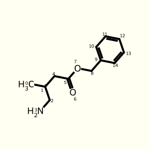 C[C](CN)CC(=O)OCc1ccccc1